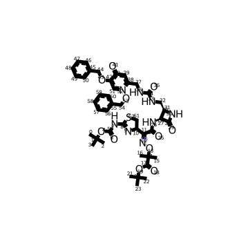 CC(C)(C)OC(=O)NC1=NC(/C(=N/OC(C)(C)C(=O)OC(C)(C)C)C(=O)N[C@@H]2C(=O)N[C@@H]2CNC(=O)NCc2cc(=O)c(OCc3ccccc3)cn2OCc2ccccc2)CS1